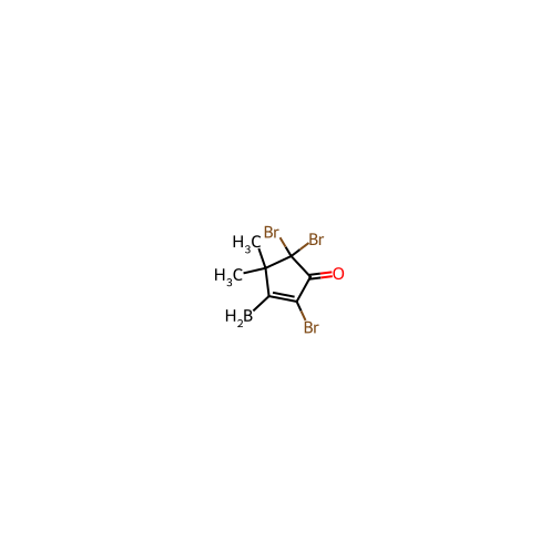 BC1=C(Br)C(=O)C(Br)(Br)C1(C)C